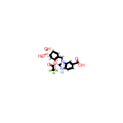 O=C(O)c1ccc2[nH]c[n+](Cc3ccc(B(O)O)cc3OC(=O)C(F)(F)F)c2c1